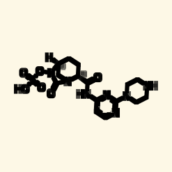 O=C(Nc1ccnc(N2CCNCC2)n1)[C@@H]1CC[C@@H]2CN1C(=O)N2OS(=O)(=O)O